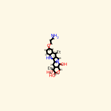 CCC1C2CC(OCCCN)CCC2NC2C1CN1C(O)C3COC(O)C(O)(CC)C3CC21